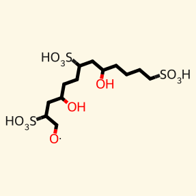 [O]CC(CC(O)CCC(CC(O)CCCCS(=O)(=O)O)S(=O)(=O)O)S(=O)(=O)O